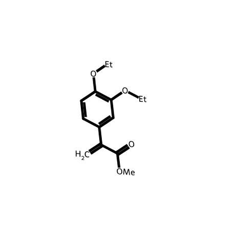 C=C(C(=O)OC)c1ccc(OCC)c(OCC)c1